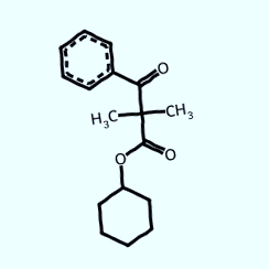 CC(C)(C(=O)OC1CCCCC1)C(=O)c1ccccc1